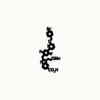 COCCn1c(Cc2cc(F)c(-c3cccc(OCc4ccc(C(C)=O)cc4)n3)cc2F)nc2ccc(C(=O)O)cc21